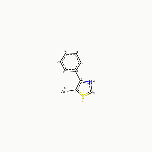 CC(=O)c1scnc1-c1ccccc1